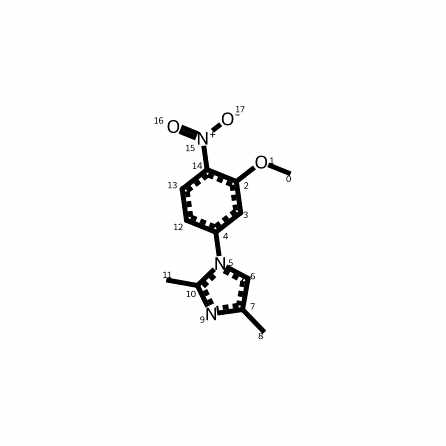 COc1cc(-n2cc(C)nc2C)ccc1[N+](=O)[O-]